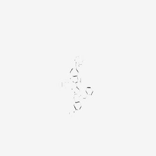 Cl.Clc1ccc(OCc2ccccc2)c(Cc2nc(-c3nc4cc(N5CCOCC5)ccc4[nH]3)cs2)c1